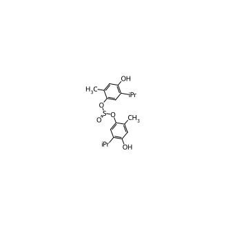 Cc1cc(O)c(C(C)C)cc1OS(=O)Oc1cc(C(C)C)c(O)cc1C